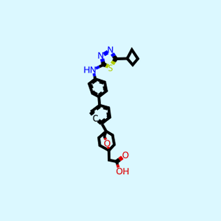 O=C(O)CC12CCC(c3ccc(-c4ccc(Nc5nnc(C6CCC6)s5)cc4)cc3)(CC1)CO2